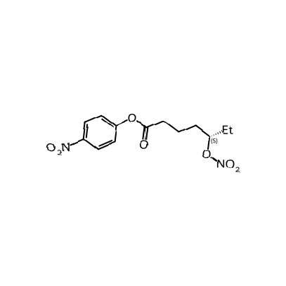 CC[C@@H](CCCC(=O)Oc1ccc([N+](=O)[O-])cc1)O[N+](=O)[O-]